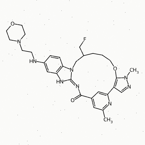 Cc1cc2cc(n1)-c1cnn(C)c1OCCCC(CF)CN1/C(=N/C2=O)Nc2cc(NCCN3CCOCC3)ccc21